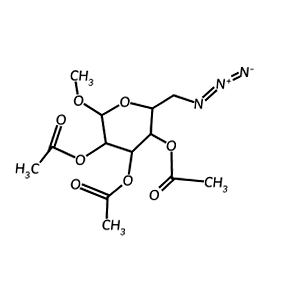 COC1OC(CN=[N+]=[N-])C(OC(C)=O)C(OC(C)=O)C1OC(C)=O